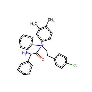 Cc1ccc([N+](CCc2ccc(Cl)cc2)(C(=O)C(N)c2ccccc2)c2ccccc2)cc1C